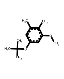 COc1cc(OC(C)(C)C)cc(C)c1C